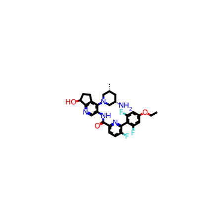 CCOc1cc(F)c(-c2nc(C(=O)Nc3cnc4c(c3N3C[C@H](C)C[C@H](N)C3)CCC4O)ccc2F)c(F)c1